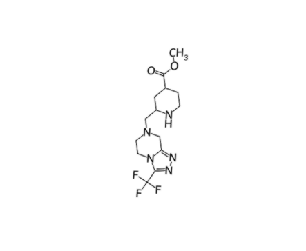 COC(=O)C1CCNC(CN2CCn3c(nnc3C(F)(F)F)C2)C1